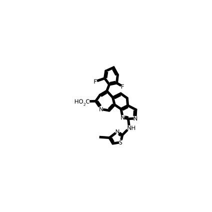 Cc1csc(Nc2ncc3c(n2)C2=CN=C(C(=O)O)C=C(c4c(F)cccc4F)C2=CC3)n1